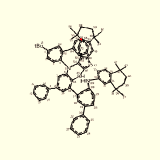 CC(C)(C)c1ccc(N2c3cc(-c4ccccc4)cc(-c4cc(-c5ccccc5)ccc4Nc4ccc5c(c4)C(C)(C)CCC5(C)C)c3Bc3sc4cc5c(cc4c32)C(C)(C)CCC5(C)C)c(-c2ccccc2)c1